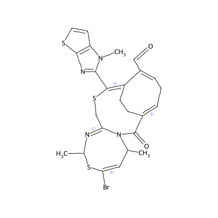 CC1/N=C2/CS/C(c3nc4sccc4n3C)=C3\CC/C(=C\CC=C3C=O)C(=O)N2C(C)/C=C(/Br)S1